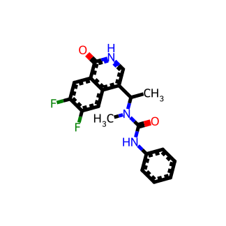 CC(c1c[nH]c(=O)c2cc(F)c(F)cc12)N(C)C(=O)Nc1ccccc1